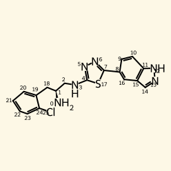 N[C@H](CNc1nnc(-c2ccc3[nH]ncc3c2)s1)Cc1ccccc1Cl